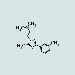 Cc1cccc(-c2nc(C)n(CCN(C)C)n2)c1